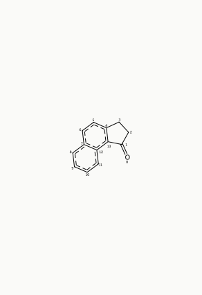 O=C1CCc2ccc3ccccc3c21